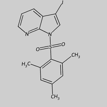 Cc1cc(C)c(S(=O)(=O)n2cc(I)c3cccnc32)c(C)c1